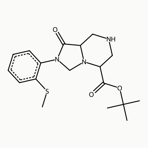 CSc1ccccc1N1CN2C(C(=O)OC(C)(C)C)CNCC2C1=O